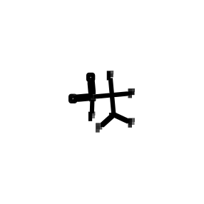 O=S(=O)(F)C(F)(F)[C](F)F